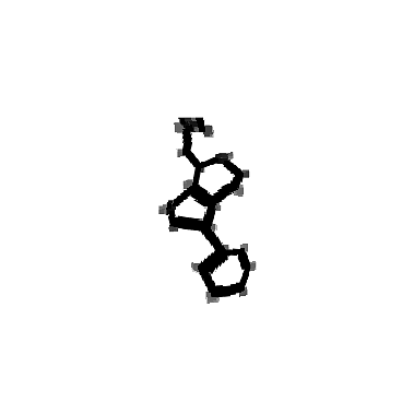 NCC1OCCc2c(-c3ccccc3)csc21